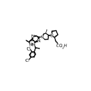 Cc1nn(C(C)c2ccc(Cl)cc2Cl)c2nc(N3CCC(N4CCCC4CCC(=O)O)[C@H](C)C3)cnc12